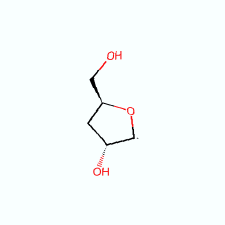 OC[C@@H]1C[C@@H](O)[CH]O1